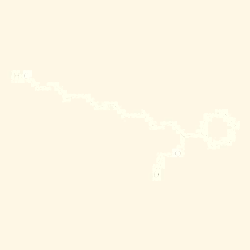 CCCCCCCCCCCC(OC=O)c1ccccc1